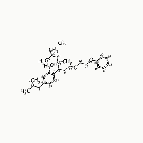 CC(C)Cc1ccc(C(CCOCCOc2ccccc2)[N+](C)(C)CC(C)C)cc1.[Cl-]